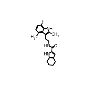 Cc1[nH]c2c(F)ccc(C)c2c1CCNC(=O)c1cc2c([nH]1)CCCC2